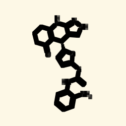 C=C(Nc1ccccc1N)Sc1ccc([C@@H]2C3=C(CCCC3=O)Nc3n[nH]cc32)o1